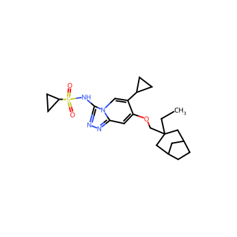 CCC1(COc2cc3nnc(NS(=O)(=O)C4CC4)n3cc2C2CC2)CC2CCC(C2)C1